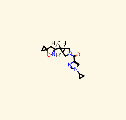 CC1(C2=NOC3(CC3)C2)[C@@H]2CN(C(=O)c3cn(C4CC4)cn3)C[C@@H]21